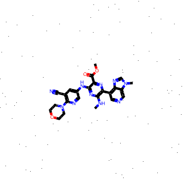 CNc1nc(Nc2cnc(N3CCOCC3)c(C#N)c2)c(C(=O)OC)nc1-c1cncc2c1ncn2C